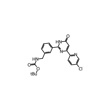 CC(C)(C)OC(=O)NCc1cccc(-c2nc(-c3ccc(Cl)cn3)cc(=O)[nH]2)c1